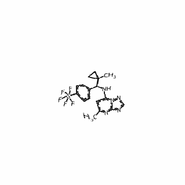 Cc1cc(N[C@@H](c2ccc(S(F)(F)(F)(F)F)cc2)C2(C)CC2)n2ncnc2n1